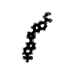 CC(C)OC(=O)N1CCc2cc(-c3nc(-c4ccc5c(c4)CCN(S(C)(=O)=O)C5)no3)ccc2C1